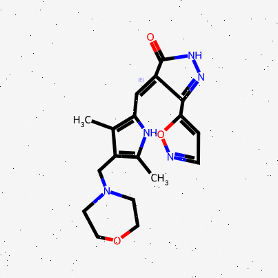 Cc1[nH]c(/C=C2/C(=O)NN=C2c2ccno2)c(C)c1CN1CCOCC1